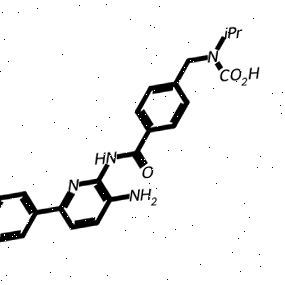 CC(C)N(Cc1ccc(C(=O)Nc2nc(-c3ccccc3)ccc2N)cc1)C(=O)O